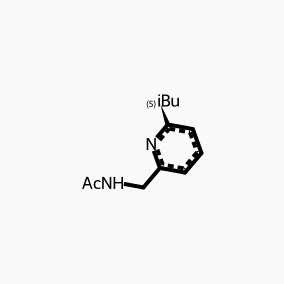 CC[C@H](C)c1cccc(CNC(C)=O)n1